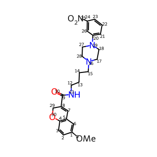 COc1ccc2c(c1)C=C(C(=O)NCCCCN1CCN(c3cccc([N+](=O)[O-])c3)CC1)CO2